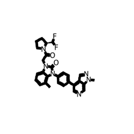 Cc1cccc2c1n(-c1ccc(-c3cncc4c3cnn4C)cc1)c(=O)n2CC(=O)N1CCC[C@H]1C(F)F